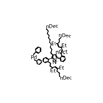 CCCCCCCCCCCCCCCCCCCCCC1=C(c2ccccc2CCC(C=C(CC)CCCCCCCCCCCCC)CC)[N+](=[N-])C(c2ccccc2CCC(C=C(CC)CCCCCCCCCCCCC)CC)=C1CCCCCCCC.c1ccc([CH2][Pd][CH2]c2ccccc2)cc1